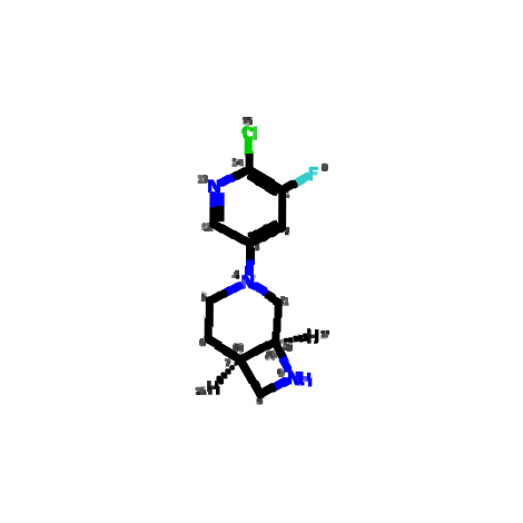 Fc1cc(N2CC[C@@H]3CN[C@@H]3C2)cnc1Cl